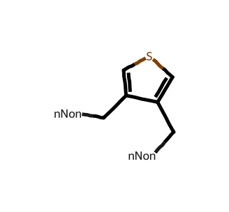 CCCCCCCCCCc1cscc1CCCCCCCCCC